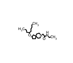 CCCCCC(CCC)O[C@H]1CCC2(CCN(CC(=O)NCC)CC2)C1